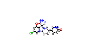 CC(C(N)=O)(c1ccc(Cl)cn1)N1CCCC(c2ccc(=O)[nH]c2)C1